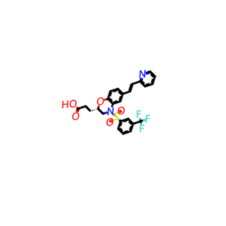 O=C(O)CC[C@H]1CN(S(=O)(=O)c2cccc(C(F)(F)F)c2)c2cc(/C=C/c3ccccn3)ccc2O1